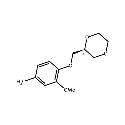 COc1cc(C)ccc1OC[C@@H]1COCCO1